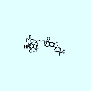 O=c1[nH]ncc(O[C@@H](CCCn2ccc3cc(-c4ncc(C(F)(F)F)cn4)c(F)cc3c2=O)COC(F)F)c1C(F)(F)F